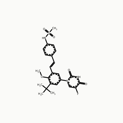 COc1c(/C=C/c2ccc(NS(C)(=O)=O)cc2)cc(-n2cc(F)c(=O)[nH]c2=O)cc1C(C)(C)C